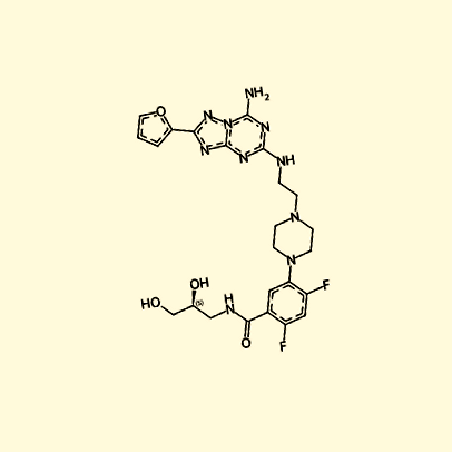 Nc1nc(NCCN2CCN(c3cc(C(=O)NC[C@H](O)CO)c(F)cc3F)CC2)nc2nc(-c3ccco3)nn12